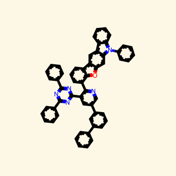 c1ccc(-c2cccc(-c3cnc(-c4cccc5c4oc4cc6c(cc45)c4ccccc4n6-c4ccccc4)c(-c4nc(-c5ccccc5)nc(-c5ccccc5)n4)c3)c2)cc1